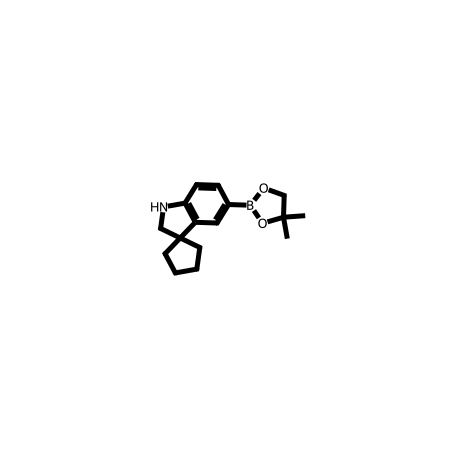 CC1(C)COB(c2ccc3c(c2)C2(CCCC2)CN3)O1